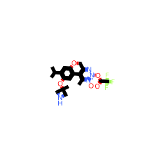 Cc1c2c(nn(OC(=O)C(F)(F)F)[n+]1=O)COc1cc(C(C)C)c(OC3(C)CNC3)cc1-2